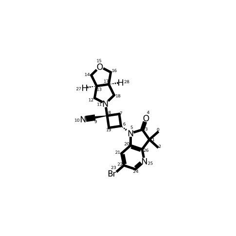 CC1(C)C(=O)N([C@H]2C[C@@](C#N)(N3C[C@H]4COC[C@H]4C3)C2)c2cc(Br)cnc21